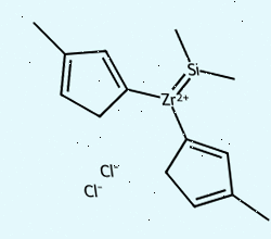 CC1=CC[C]([Zr+2]([C]2=CC(C)=CC2)=[Si](C)C)=C1.[Cl-].[Cl-]